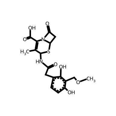 COCc1c(O)ccc(CC(=O)NC2SC3CC(=O)N3C(C(=O)O)=C2C)c1O